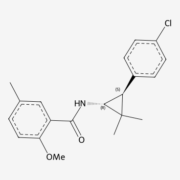 COc1ccc(C)cc1C(=O)N[C@@H]1[C@@H](c2ccc(Cl)cc2)C1(C)C